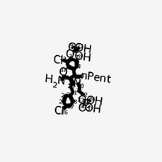 CCCCCc1c(-c2ccc(OP(=O)(O)O)c(Cl)c2)c(C(N)=O)c(CCc2ccc(Cl)cc2)n1CCCOP(=O)(O)O